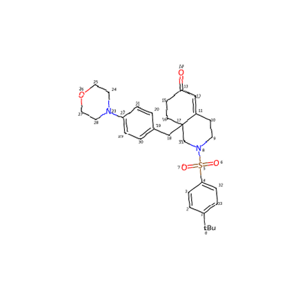 CC(C)(C)c1ccc(S(=O)(=O)N2CCC3=CC(=O)CCC3(Cc3ccc(N4CCOCC4)cc3)C2)cc1